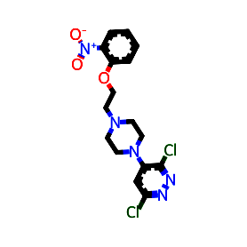 O=[N+]([O-])c1ccccc1OCCN1CCN(c2cc(Cl)nnc2Cl)CC1